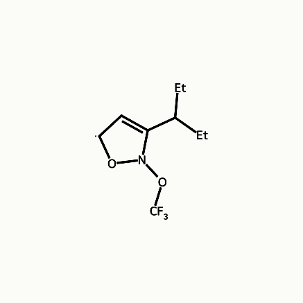 CCC(CC)C1=C[CH]ON1OC(F)(F)F